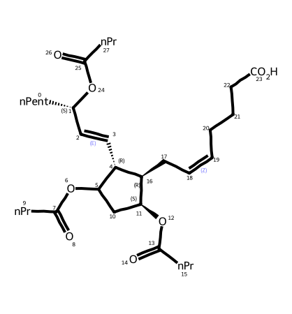 CCCCC[C@@H](/C=C/[C@H]1C(OC(=O)CCC)C[C@H](OC(=O)CCC)[C@@H]1C/C=C\CCCC(=O)O)OC(=O)CCC